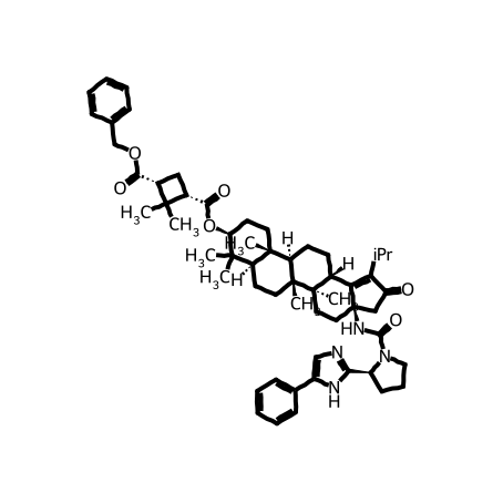 CC(C)C1=C2[C@H]3CC[C@@H]4[C@@]5(C)CC[C@H](OC(=O)[C@H]6C[C@@H](C(=O)OCc7ccccc7)C6(C)C)C(C)(C)[C@@H]5CC[C@@]4(C)[C@]3(C)CC[C@@]2(NC(=O)N2CCC[C@H]2c2ncc(-c3ccccc3)[nH]2)CC1=O